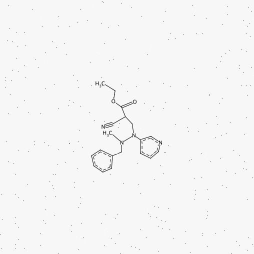 CCOC(=O)C(C#N)CN(c1cccnc1)N(C)Cc1ccccc1